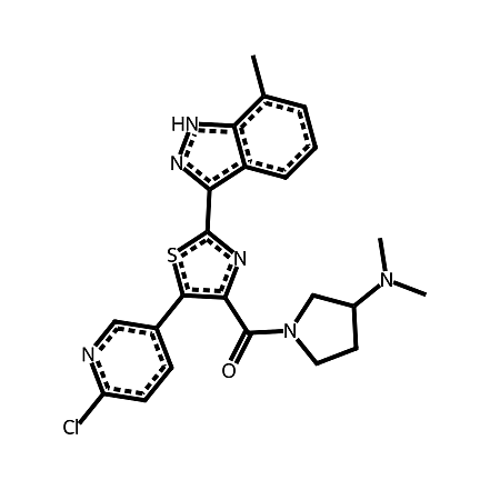 Cc1cccc2c(-c3nc(C(=O)N4CCC(N(C)C)C4)c(-c4ccc(Cl)nc4)s3)n[nH]c12